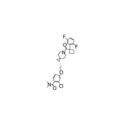 CN(C)C(=O)c1ccc(OCC[C@@H]2CC23CCN(C(=O)C2(c4cc(F)ccc4F)CCC2)CC3)cc1Cl